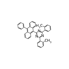 Cc1ccccc1-c1nc(-c2ccccc2C)nc(-c2c3ccccc3c(-c3ccccc3)c3ccccc23)n1